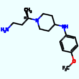 C[C@H](CCN)N1CCC(Nc2ccc(OC(F)(F)F)cc2)CC1